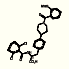 COc1ccccc1C(=O)N1CCC(c2ccc(C[C@H](NC(=O)c3c(Cl)cccc3Cl)C(=O)O)cc2)CC1